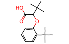 CC(C)(C)c1ccccc1OC(C(=O)O)C(C)(C)C